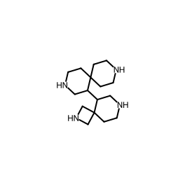 C1CC2(CCN1)CCNCC2C1CNCCC12CNC2